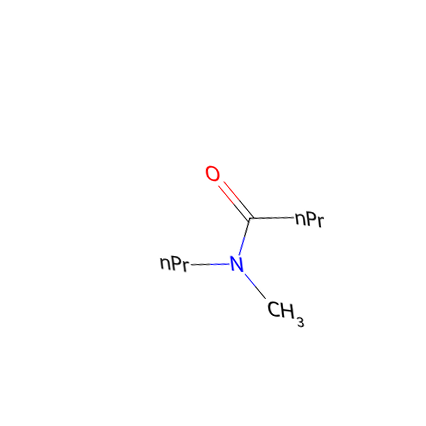 [CH2]CCN(C)C(=O)CCC